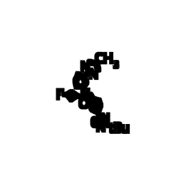 Cc1cnc(-c2cccc(N(CC34CCC(c5nc(C(C)(C)C)no5)(CC3)CC4)C(=O)C34CC(F)(C3)C4)c2)nc1